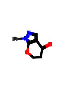 CC(C)n1ncc2c1OCCC2=O